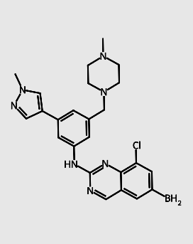 Bc1cc(Cl)c2nc(Nc3cc(CN4CCN(C)CC4)cc(-c4cnn(C)c4)c3)ncc2c1